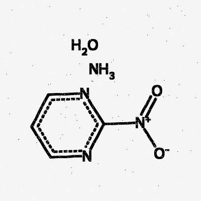 N.O.O=[N+]([O-])c1ncccn1